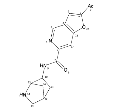 CC(=O)c1cc2cnc(C(=O)NC3CC4CNC3C4)cc2o1